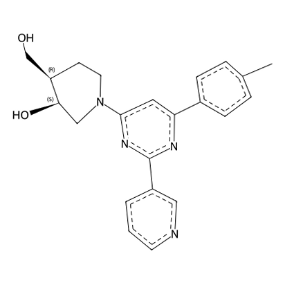 Cc1ccc(-c2cc(N3CC[C@H](CO)[C@H](O)C3)nc(-c3cccnc3)n2)cc1